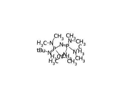 CN(C)P(=NC(C)(C)C)(N=P(N(C)C)(N(C)C)N(C)C)N(C)C